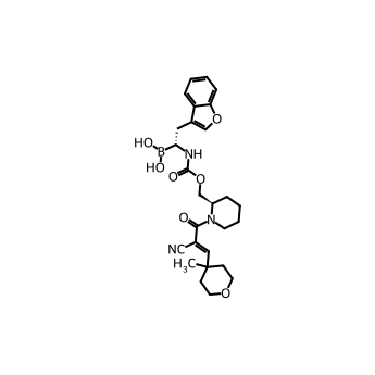 CC1(C=C(C#N)C(=O)N2CCCC[C@@H]2COC(=O)N[C@@H](Cc2coc3ccccc23)B(O)O)CCOCC1